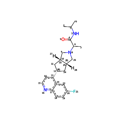 CC(C)NC(=O)C(C)N1C[C@H]2C[C@@H](c3ccnc4ccc(F)cc34)C[C@H]2C1